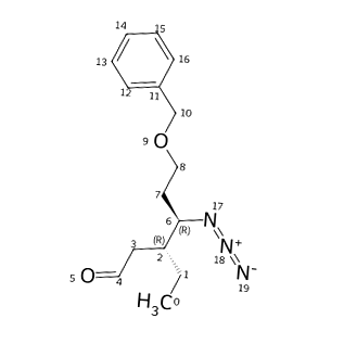 CC[C@H](CC=O)[C@@H](CCOCc1ccccc1)N=[N+]=[N-]